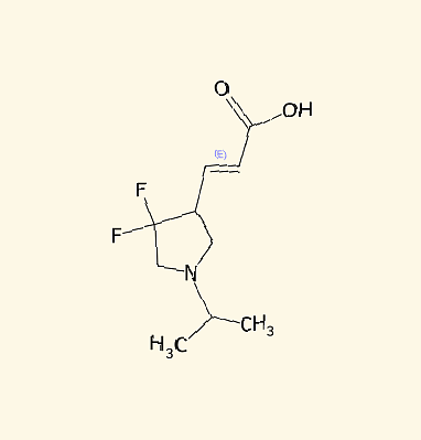 CC(C)N1CC(/C=C/C(=O)O)C(F)(F)C1